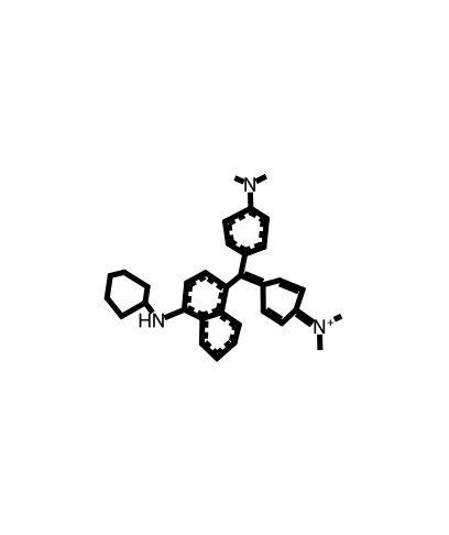 CN(C)c1ccc(C(=C2C=CC(=[N+](C)C)C=C2)c2ccc(NC3CCCCC3)c3ccccc23)cc1